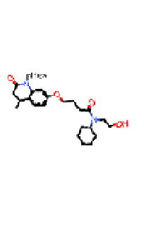 CCCCCCN1C(=O)CC(C)c2ccc(OCCCC(=O)N(CCO)C3CCCCC3)cc21